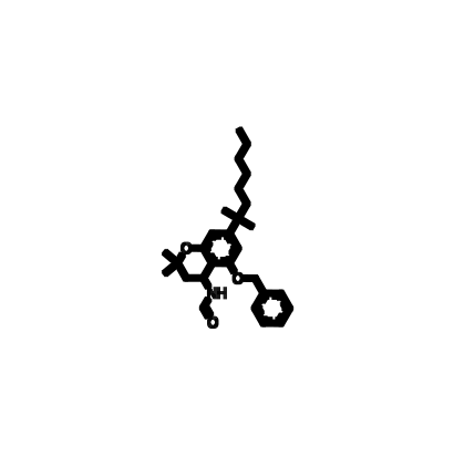 CCCCCCC(C)(C)c1cc(OCc2ccccc2)c2c(c1)OC(C)(C)CC2NC=O